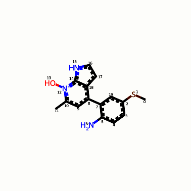 CSc1ccc(N)c(-c2cc(C)[n+](O)c3[nH]ccc23)c1